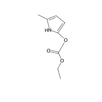 CCOC(=O)Oc1ccc(C)[nH]1